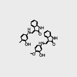 COc1ccc(N/C=C2/C(=O)Nc3ccccc32)cc1O.Cc1ccc(N/C=C2/C(=O)Nc3ccccc32)cc1O